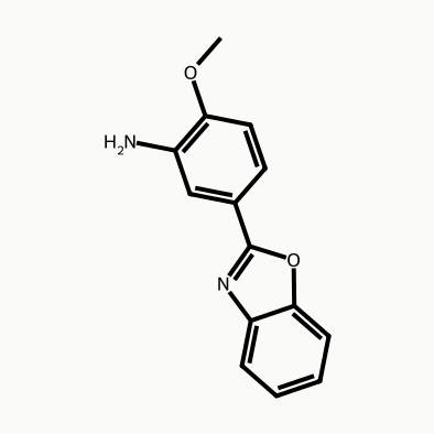 COc1ccc(-c2nc3ccccc3o2)cc1N